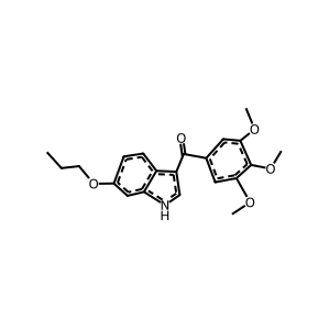 CCCOc1ccc2c(C(=O)c3cc(OC)c(OC)c(OC)c3)c[nH]c2c1